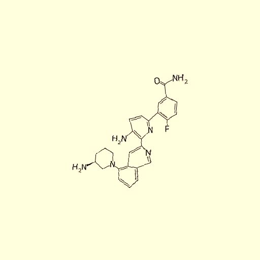 NC(=O)c1ccc(F)c(-c2ccc(N)c(-c3cc4c(N5CCC[C@H](N)C5)cccc4cn3)n2)c1